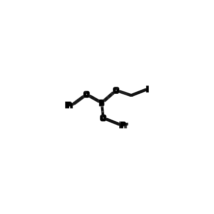 CC(C)OB(OCI)OC(C)C